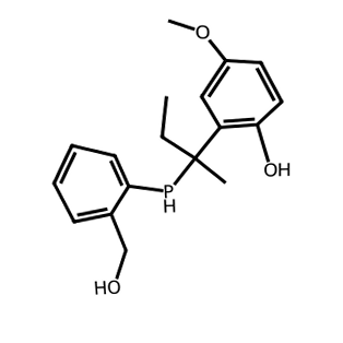 CCC(C)(Pc1ccccc1CO)c1cc(OC)ccc1O